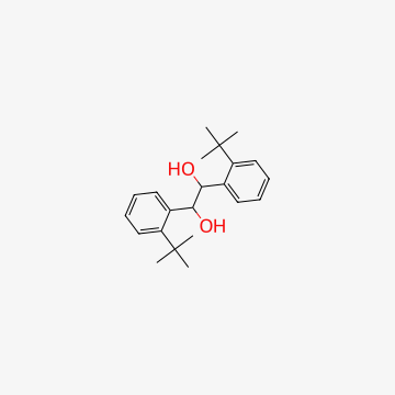 CC(C)(C)c1ccccc1C(O)C(O)c1ccccc1C(C)(C)C